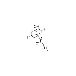 C=CC(=O)OC12CC3(O)CC(I)(CC(I)(C3)C1)C2